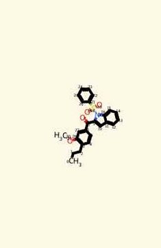 CCCc1ccc(C(=O)c2cc3ccccc3n2S(=O)(=O)c2ccccc2)cc1OC